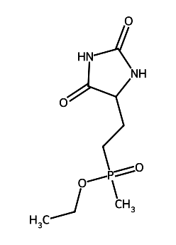 CCOP(C)(=O)CCC1NC(=O)NC1=O